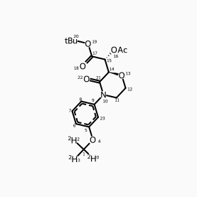 [2H]C([2H])([2H])Oc1cccc(N2CCO[C@H]([C@@H](OC(C)=O)C(=O)OC(C)(C)C)C2=O)c1